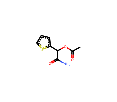 CC(=O)OC(C(N)=O)c1cccs1